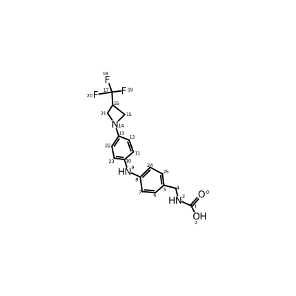 O=C(O)NCc1ccc(Nc2ccc(N3CC(C(F)(F)F)C3)cc2)cc1